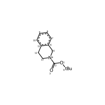 CC(C)(C)OC(=O)N1[C]c2ccccc2CC1